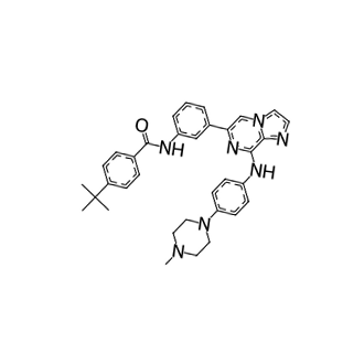 CN1CCN(c2ccc(Nc3nc(-c4cccc(NC(=O)c5ccc(C(C)(C)C)cc5)c4)cn4ccnc34)cc2)CC1